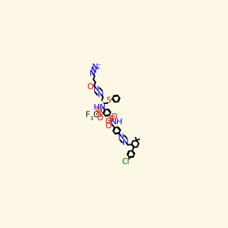 CC1(C)CCC(c2ccc(Cl)cc2)=C(CN2CCN(c3ccc(C(=O)NS(=O)(=O)c4ccc(N[C@H](CCN5CCN(C(=O)CCCN=[N+]=[N-])CC5)CSc5ccccc5)c(S(=O)(=O)C(F)(F)F)c4)cc3)CC2)C1